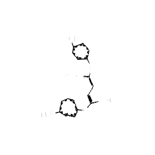 C/C(=C\C=C(/C)Oc1ccc(C)cc1)Oc1ccc(C)cc1